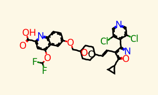 O=C(O)c1cc(OC(F)F)c2cc(OCC34CCC(C=Cc5c(-c6c(Cl)cncc6Cl)noc5C5CC5)(CC3)CO4)ccc2n1